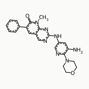 Cn1c(=O)c(-c2ccccc2)cc2cnc(Nc3cnc(N4CCOCC4)c(N)c3)nc21